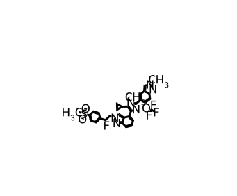 Cn1cc2cc(-c3nc(-c4cccc5nn(C[C@H](F)c6ccc(S(C)(=O)=O)cc6)cc45)c(C4CC4)n3C)c(OC(F)(F)F)cc2n1